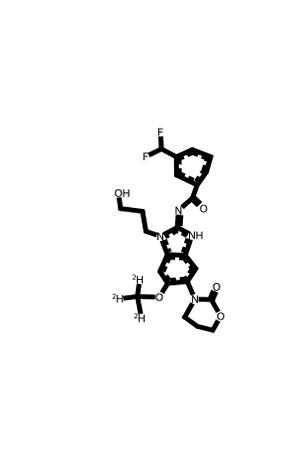 [2H]C([2H])([2H])Oc1cc2c(cc1N1CCCOC1=O)[nH]/c(=N\C(=O)c1cccc(C(F)F)c1)n2CCCO